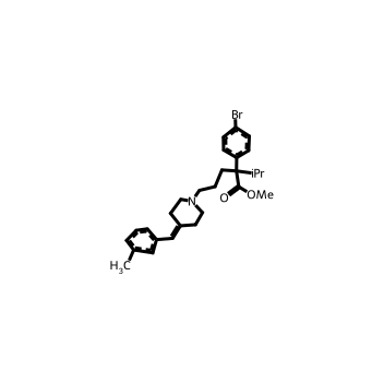 COC(=O)C(CCCN1CCC(=Cc2cccc(C)c2)CC1)(c1ccc(Br)cc1)C(C)C